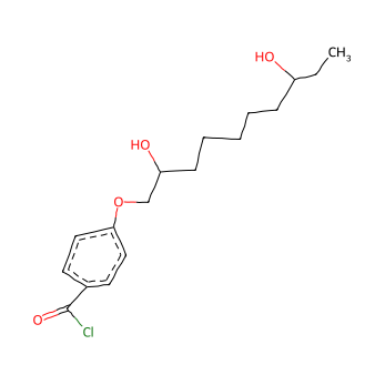 CCC(O)CCCCCC(O)COc1ccc(C(=O)Cl)cc1